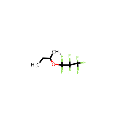 CCC(C)OC(F)(F)C(F)(F)C(F)(F)F